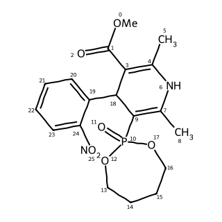 COC(=O)C1=C(C)NC(C)=C(P2(=O)OCCCCO2)C1c1ccccc1[N+](=O)[O-]